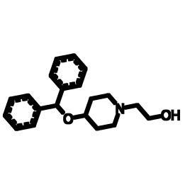 OCCN1CCC(OC(c2ccccc2)c2ccccc2)CC1